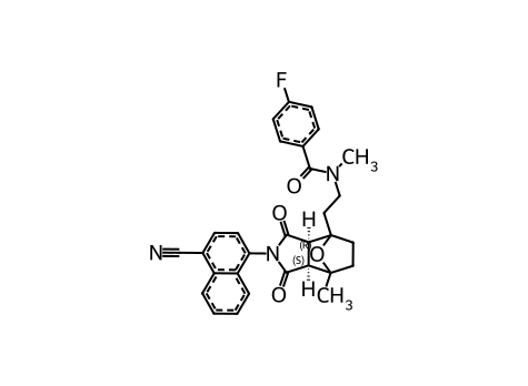 CN(CCC12CCC(C)(O1)[C@H]1C(=O)N(c3ccc(C#N)c4ccccc34)C(=O)[C@H]12)C(=O)c1ccc(F)cc1